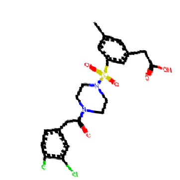 Cc1cc(CC(=O)O)cc(S(=O)(=O)N2CCN(C(=O)Cc3ccc(Cl)c(Cl)c3)CC2)c1